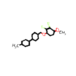 COC1CCC(OCC2CCC(C3CCC(C)CC3)CC2)C(F)C1F